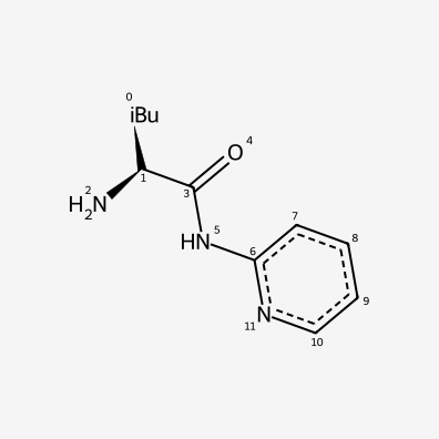 CC[C@H](C)[C@H](N)C(=O)Nc1ccccn1